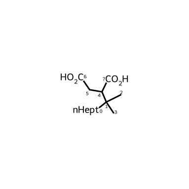 CCCCCCCC(C)(C)C(CC(=O)O)C(=O)O